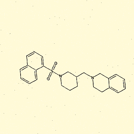 O=S(=O)(c1cccc2ccccc12)N1CCCC(CN2CCc3ccccc3C2)C1